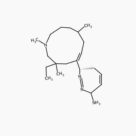 CCC1(C)C/C([C@@H]2CC=CC(N)N=N2)=C\CC(C)CCCN(C)C1